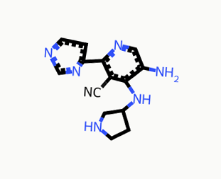 N#Cc1c(-c2ccncn2)ncc(N)c1NC1CCNC1